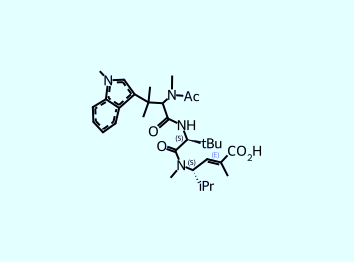 CC(=O)N(C)C(C(=O)N[C@H](C(=O)N(C)[C@H](/C=C(\C)C(=O)O)C(C)C)C(C)(C)C)C(C)(C)c1cn(C)c2ccccc12